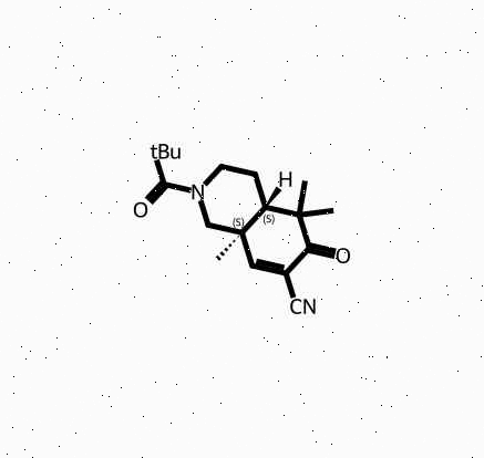 CC(C)(C)C(=O)N1CC[C@@H]2C(C)(C)C(=O)C(C#N)=C[C@@]2(C)C1